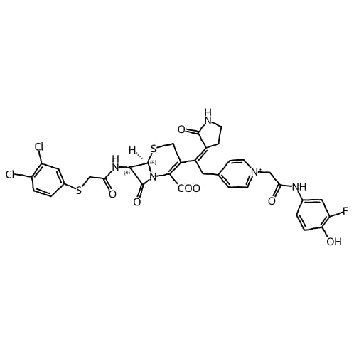 O=C(C[n+]1ccc(CC(=C2CCNC2=O)C2=C(C(=O)[O-])N3C(=O)[C@@H](NC(=O)CSc4ccc(Cl)c(Cl)c4)[C@H]3SC2)cc1)Nc1ccc(O)c(F)c1